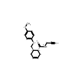 CSc1ccc(SC[C@@H]2CC=CC[C@H]2C(=O)NCC#N)cc1